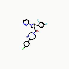 O=C(C1CN(c2cccnn2)C[C@H]1C1C=CC(F)=CC1F)N1CCC[C@@H](C2=CC=C(Cl)CC2)NCC1